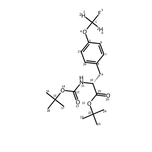 [2H]C([2H])(F)Oc1ccc(C[C@@H](NC(=O)OC(C)(C)C)C(=O)OC(C)(C)C)cc1